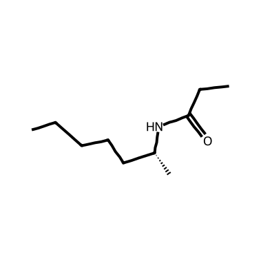 CCCCC[C@@H](C)NC(=O)CC